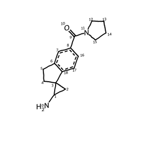 NC1CC12CCc1cc(C(=O)N3CCCC3)ccc12